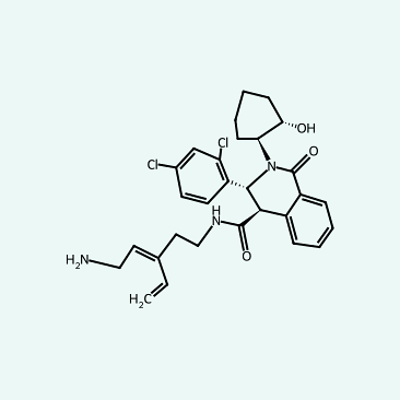 C=C/C(=C\CN)CCNC(=O)[C@@H]1c2ccccc2C(=O)N([C@H]2CCCC[C@@H]2O)[C@H]1c1ccc(Cl)cc1Cl